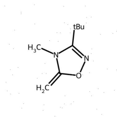 C=C1ON=C(C(C)(C)C)N1C